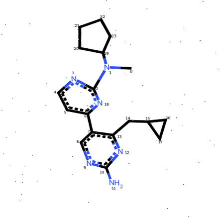 CN(c1nccc(-c2cnc(N)nc2CC2CC2)n1)C1CCCC1